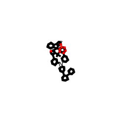 CC1(C)c2ccccc2C2(c3ccccc3-c3ccccc32)c2cccc(-c3cccc(N(c4ccc(-c5ccccc5-c5ccccc5)cc4)c4cccc(-c5ccccc5)c4)c3)c21